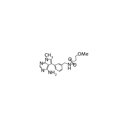 COCCS(=O)(=O)NCc1cccc(-c2cn(C)c3ncnc(N)c23)c1